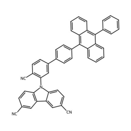 N#Cc1ccc2c(c1)c1cc(C#N)ccc1n2-c1cc(-c2ccc(-c3c4ccccc4c(-c4ccccc4)c4ccccc34)cc2)ccc1C#N